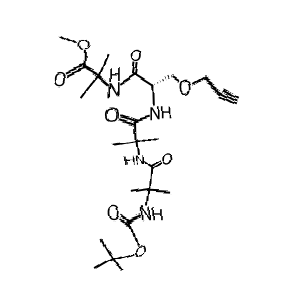 C#CCOC[C@H](NC(=O)C(C)(C)NC(=O)C(C)(C)NC(=O)OC(C)(C)C)C(=O)NC(C)(C)C(=O)OC